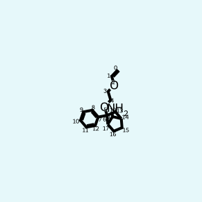 C=COCCOC1(c2ccccc2)CC2CCC1C2N